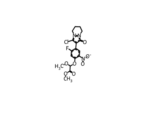 COC(=O)C(OC)Oc1cc(F)c(-c2c(Cl)n3n(c2=O)CCCC3)cc1[N+](=O)[O-]